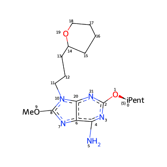 CCC[C@H](C)Oc1nc(N)c2nc(OC)n(CCCC3CCCCO3)c2n1